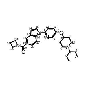 CCC(CC)N1CCC(Oc2ccc(-n3ccc4cc(C(=O)N5CCC5)ccc43)nc2)CC1